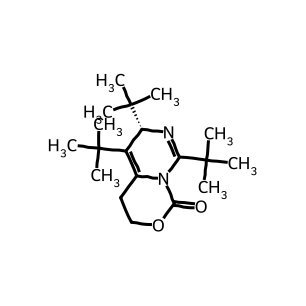 CC(C)(C)C1=N[C@@H](C(C)(C)C)C(C(C)(C)C)=C2CCOC(=O)N12